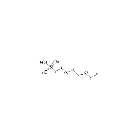 CCSCCSCCS(=O)(=O)O